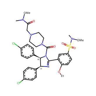 CCOc1ccc(S(=O)(=O)N(C)OC)cc1C1=N[C@@H](c2ccc(Cl)cc2)[C@@H](c2ccc(Cl)cc2)N1C(=O)N1CCN(CC(=O)N(C)OC)CC1